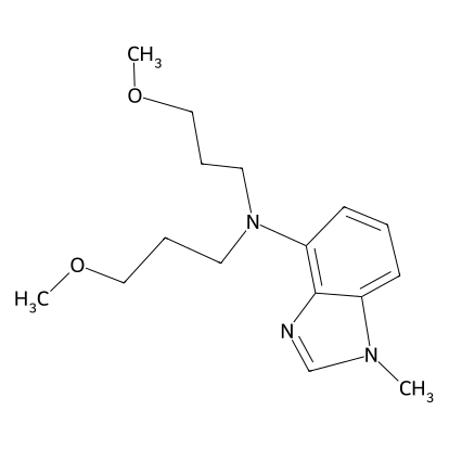 COCCCN(CCCOC)c1cccc2c1ncn2C